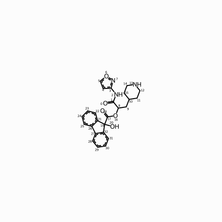 O=C(Nc1ccon1)C(CC1CCNCC1)OC(=O)C1(O)c2ccccc2-c2ccccc21